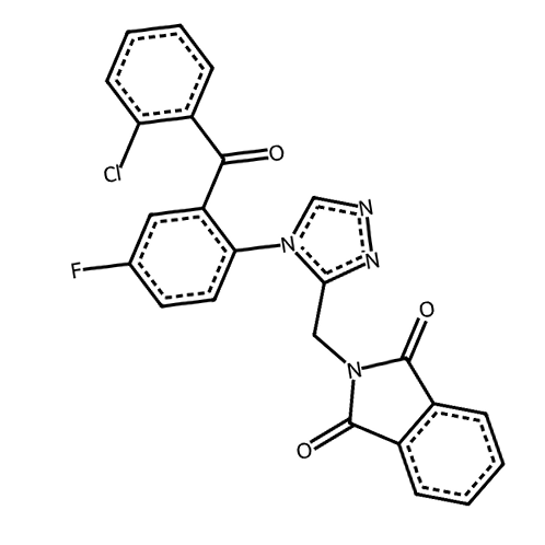 O=C(c1ccccc1Cl)c1cc(F)ccc1-n1cnnc1CN1C(=O)c2ccccc2C1=O